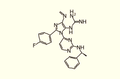 C=Nc1nc(-c2ccc(F)cc2)n(-c2ccnc(N[C@@H](C)c3ccccc3)n2)c1NC(=N)N